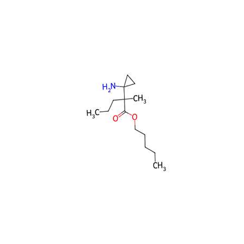 CCCCCOC(=O)C(C)(CCC)C1(N)CC1